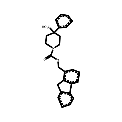 O=C(OCc1cccc2c1Cc1ccccc1-2)N1CCC(C(=O)O)(c2ccccc2)CC1